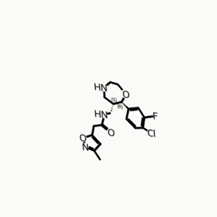 Cc1cc(CC(=O)NC[C@@H]2CNCCO[C@H]2c2ccc(Cl)c(F)c2)on1